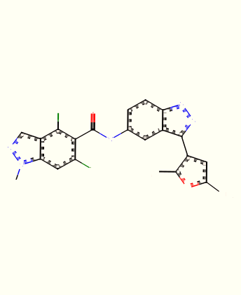 Cc1cc(-c2n[nH]c3ccc(NC(=O)c4c(F)cc5c(cnn5C)c4F)cc23)c(C)o1